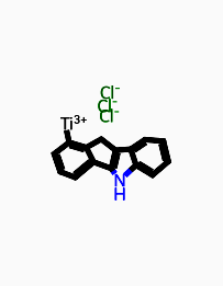 [Cl-].[Cl-].[Cl-].[Ti+3][c]1cccc2c1Cc1c-2[nH]c2ccccc12